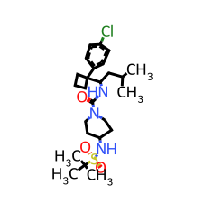 CC(C)CC(NC(=O)N1CCC(NS(=O)(=O)C(C)(C)C)CC1)C1(c2ccc(Cl)cc2)CCC1